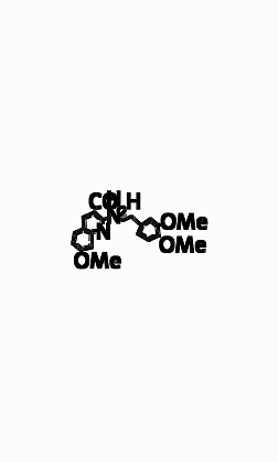 COc1ccc2cc(C(=O)O)c(NCCc3ccc(OC)c(OC)c3)nc2c1